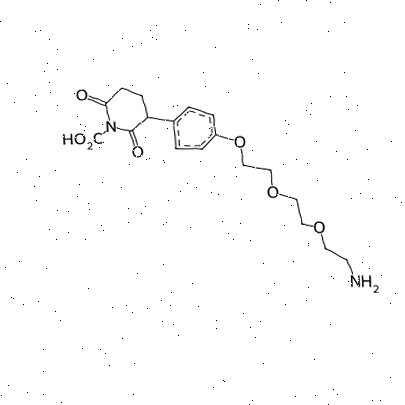 NCCOCCOCCOc1ccc(C2CCC(=O)N(C(=O)O)C2=O)cc1